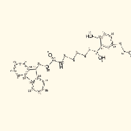 O=C(NCCCCCC(O)c1cc(CCCl)ccc1O)OCC1c2ccccc2-c2ccccc21